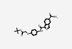 CC(C)(C)OC(=O)COc1ccc(NC(=O)c2occ3cc(C(N)=S)ccc23)cc1